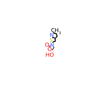 Cc1ccc2cc(N3C[C@H](CO)OC3=O)sc2n1